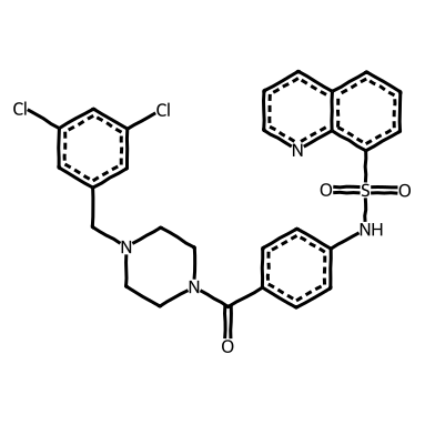 O=C(c1ccc(NS(=O)(=O)c2cccc3cccnc23)cc1)N1CCN(Cc2cc(Cl)cc(Cl)c2)CC1